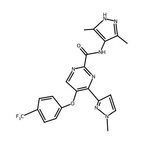 Cc1n[nH]c(C)c1NC(=O)c1ncc(Oc2ccc(C(F)(F)F)cc2)c(-c2ccn(C)n2)n1